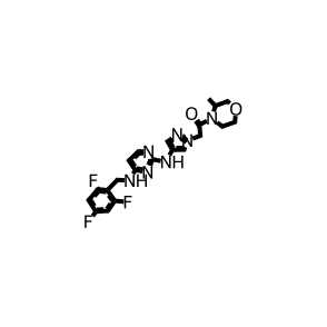 CC1COCCN1C(=O)Cn1cc(Nc2nccc(NCc3c(F)cc(F)cc3F)n2)cn1